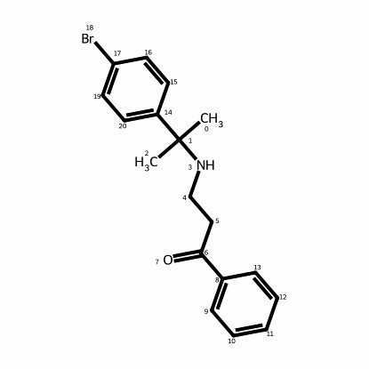 CC(C)(NCCC(=O)c1ccccc1)c1ccc(Br)cc1